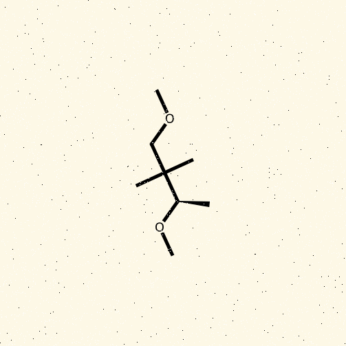 COCC(C)(C)[C@@H](C)OC